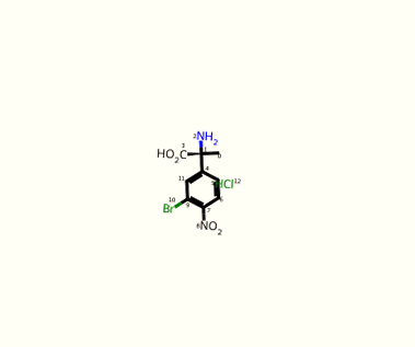 C[C@](N)(C(=O)O)c1ccc([N+](=O)[O-])c(Br)c1.Cl